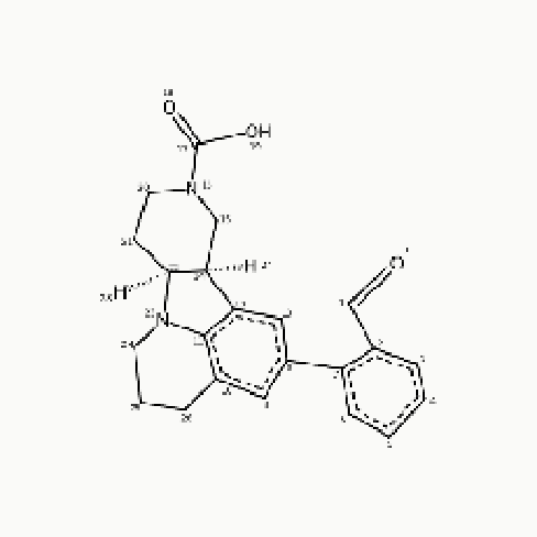 O=Cc1ccccc1-c1cc2c3c(c1)[C@@H]1CN(C(=O)O)CC[C@@H]1N3CCC2